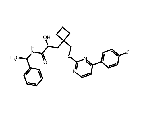 C[C@@H](NC(=O)[C@@H](O)CC1(CSc2nccc(-c3ccc(Cl)cc3)n2)CCC1)c1ccccc1